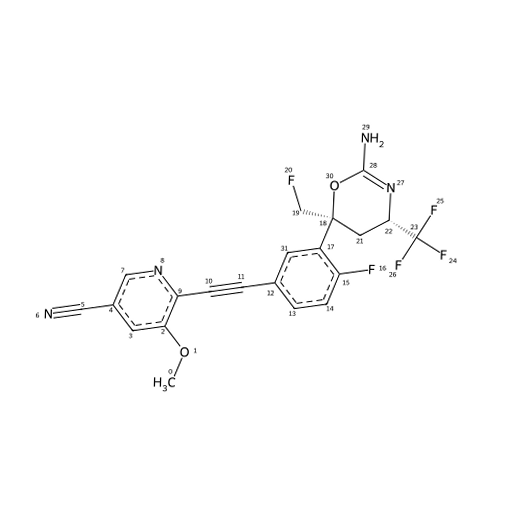 COc1cc(C#N)cnc1C#Cc1ccc(F)c([C@]2(CF)C[C@@H](C(F)(F)F)N=C(N)O2)c1